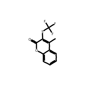 Cc1c(SC(F)(F)F)c(=O)oc2ccccc12